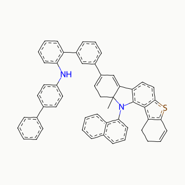 CC12CC=C(c3cccc(-c4ccccc4Nc4ccc(-c5ccccc5)cc4)c3)C=C1c1ccc3sc4c(c3c1N2c1cccc2ccccc12)CCC=C4